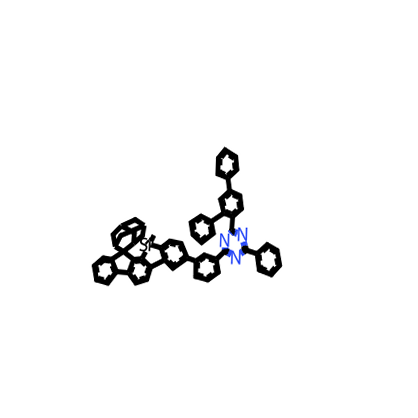 C[Si]1(C)c2ccc(-c3cccc(-c4nc(-c5ccccc5)nc(-c5ccc(-c6ccccc6)cc5-c5ccccc5)n4)c3)cc2-c2ccc3c(c21)C1(c2ccccc2-3)C2CC3CC(C2)CC1C3